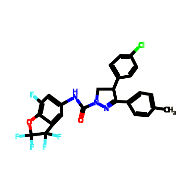 Cc1ccc(C2=NN(C(=O)Nc3cc(F)c4c(c3)C(F)(F)C(F)(F)O4)CC2c2ccc(Cl)cc2)cc1